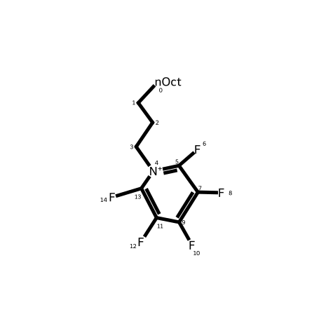 CCCCCCCCCCC[n+]1c(F)c(F)c(F)c(F)c1F